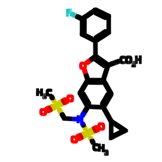 CS(=O)(=O)CN(c1cc2oc(-c3cccc(F)c3)c(C(=O)O)c2cc1C1CC1)S(C)(=O)=O